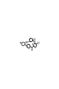 CC(C)c1cccc(Nc2nc(Nc3ccc(N4CCN(C)CC4)cn3)ncc2Cl)c1